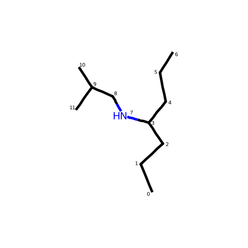 CCCC(CCC)NCC(C)C